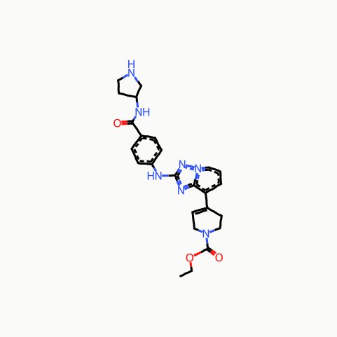 CCOC(=O)N1CC=C(c2cccn3nc(Nc4ccc(C(=O)NC5CCNC5)cc4)nc23)CC1